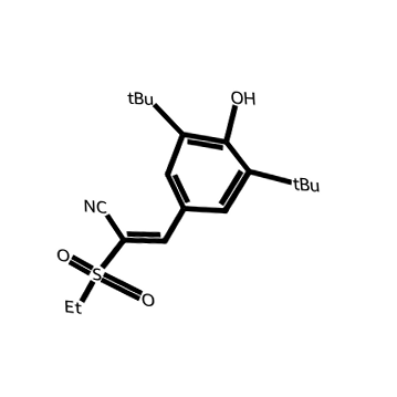 CCS(=O)(=O)/C(C#N)=C/c1cc(C(C)(C)C)c(O)c(C(C)(C)C)c1